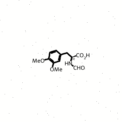 COc1ccc(C[C@H](NC=O)C(=O)O)cc1OC